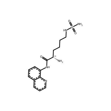 N[C@@H](CCCCNS(N)(=O)=O)C(=O)Nc1cccc2cccnc12